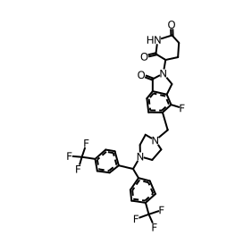 O=C1CCC(N2Cc3c(ccc(CN4CCN(C(c5ccc(C(F)(F)F)cc5)c5ccc(C(F)(F)F)cc5)CC4)c3F)C2=O)C(=O)N1